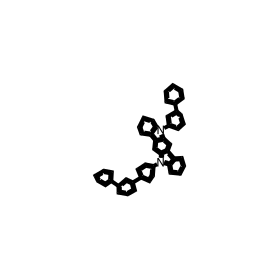 c1ccc(-c2cccc(-c3ccc(-n4c5ccccc5c5cc6c(cc54)c4ccccc4n6-c4cccc(-c5ccccc5)c4)cc3)c2)cc1